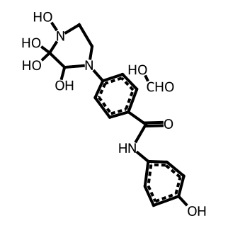 O=C(Nc1ccc(O)cc1)c1ccc(N2CCN(O)C(O)(O)C2O)cc1.O=CO